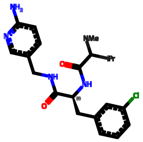 CNC(C(=O)N[C@@H](Cc1cccc(Cl)c1)C(=O)NCc1ccc(N)nc1)C(C)C